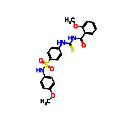 COc1ccc(NS(=O)(=O)c2ccc(NC(=S)NC(=O)c3ccccc3OC)cc2)cc1